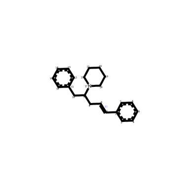 C(=C\c1ccccc1)/CC(Cc1ccccc1)N1CCCCC1